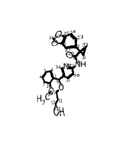 COC1CC=CC=C1C(OCCCO)c1ccc(NC(=O)C2(c3ccc4c(c3)OCO4)CC2)nc1